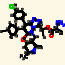 Cc1ccc(-c2c(-c3ccc(Cl)cc3)c3nnc([C@H](C)OC(=O)[C@H](C)N)n3n(Cc3ccc(C(F)(F)F)nc3C)c2=O)cc1